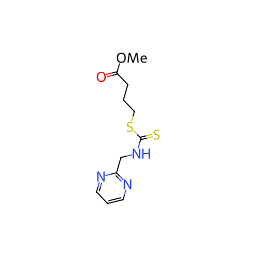 COC(=O)CCCSC(=S)NCc1ncccn1